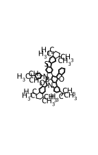 CC(C)(C)c1ccc(N2B3c4oc5cc6c(cc5c4-n4c5ccc(C(C)(C)C)cc5c5c7oc8ccccc8c7c(c3c54)-c3cc4c(cc32)sc2cc3c(cc24)C(C)(C)CCC3(C)C)C(C)(C)CCC6(C)C)cc1